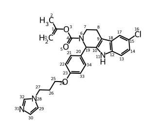 C=C(C)OC(=O)N1CCc2c([nH]c3ccc(Cl)cc23)C1c1ccc(OCCCn2ccnc2)cc1